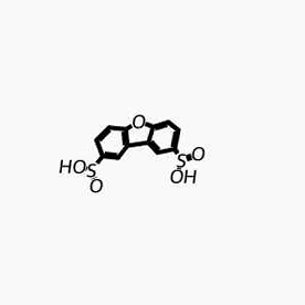 O=S(O)c1ccc2oc3ccc(S(=O)O)cc3c2c1